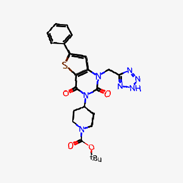 CC(C)(C)OC(=O)N1CCC(n2c(=O)c3sc(-c4ccccc4)cc3n(Cc3nn[nH]n3)c2=O)CC1